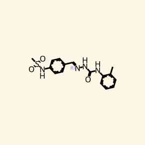 Cc1ccccc1NC(=O)N/N=C/c1ccc(NS(C)(=O)=O)cc1